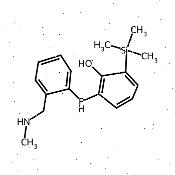 CNCc1ccccc1Pc1cccc([Si](C)(C)C)c1O